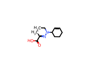 CCN(N=C(C)C(=O)O)C1C=CCCC1